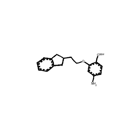 COc1ccc(N)cc1OCCC1Cc2ccccc2C1